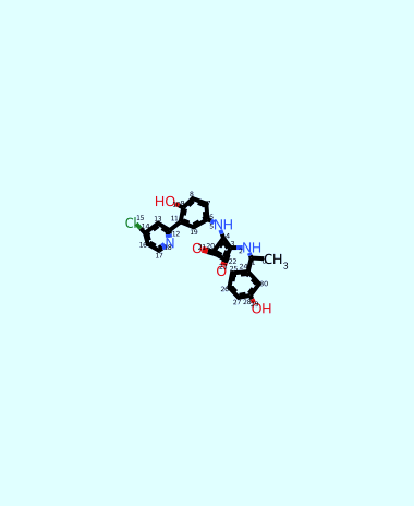 CC(Nc1c(Nc2ccc(O)c(-c3cc(Cl)ccn3)c2)c(=O)c1=O)c1cccc(O)c1